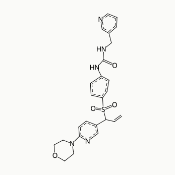 C=CC(c1ccc(N2CCOCC2)nc1)S(=O)(=O)c1ccc(NC(=O)NCc2cccnc2)cc1